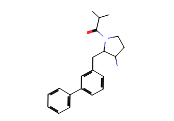 CC(C)C(=O)N1CCC(N)C1Cc1cccc(-c2ccccc2)c1